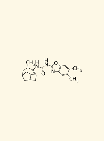 Cc1cc2nc(NC(=O)NC3=C4CC5CC(CC3C)CC45)oc2cc1C